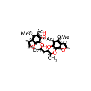 CCC(CCC(C)Oc1c(O)c(C(C)=O)c(OC)c2ccoc12)Oc1c(O)c(C(C)=O)c(OC)c2ccoc12